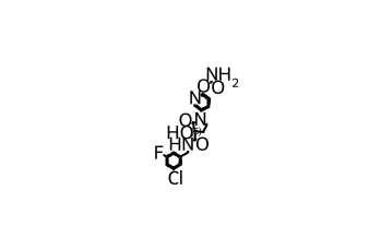 NC(=O)Oc1ccc(N2CC[C@](O)(C(=O)NCc3cc(F)cc(Cl)c3)C2=O)cn1